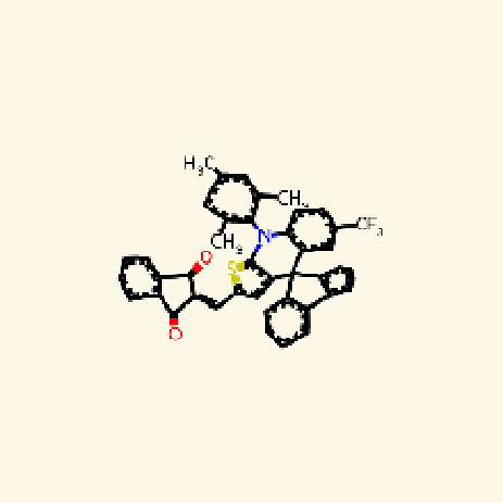 Cc1cc(C)c(N2c3ccc(C(F)(F)F)cc3C3(c4ccccc4-c4ccccc43)c3cc(C=C4C(=O)c5ccccc5C4=O)sc32)c(C)c1